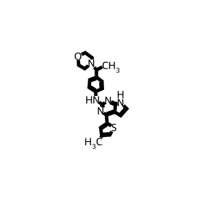 Cc1csc(-c2nc(Nc3ccc(C(C)N4CCOCC4)cc3)nc3[nH]ccc23)c1